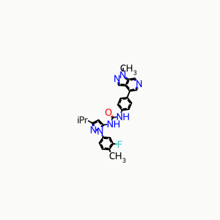 Cc1ccc(-n2nc(C(C)C)cc2NC(=O)Nc2ccc(-c3cncc4c3cnn4C)cc2)cc1F